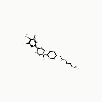 CCCCCCC[C@H]1CC[C@H]([Si]2(F)CCC(c3cc(F)c(O)c(F)c3)CC2)CC1